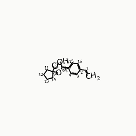 C=Cc1ccc(C(O)OC2(C)CCCC2)cc1